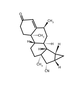 C[C@H]1C[C@H]2[C@@H]3[C@@H]4C[C@@H]4[C@H](C#N)[C@@]3(C)CC[C@@H]2[C@@]2(C)CCC(=O)C=C12